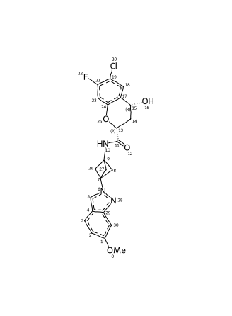 COc1ccc2cn(C34CC(NC(=O)[C@H]5C[C@@H](O)c6cc(Cl)c(F)cc6O5)(C3)C4)nc2c1